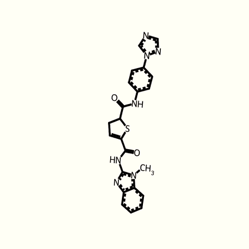 Cn1c(NC(=O)C2=CCC(C(=O)Nc3ccc(-n4cncn4)cc3)S2)nc2ccccc21